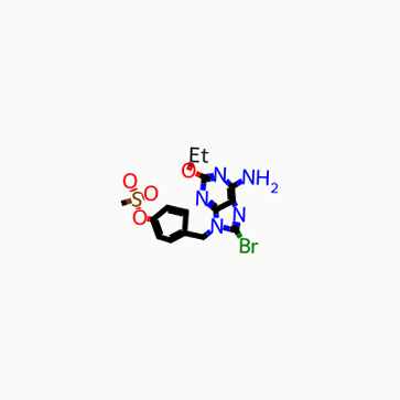 CCOc1nc(N)c2nc(Br)n(Cc3ccc(OS(C)(=O)=O)cc3)c2n1